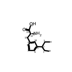 CCC(CC)c1cccc(C[C@H](N)C(=O)O)c1